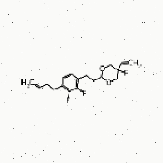 C=CCCc1ccc(CCC2OCC(F)(C=C)CO2)c(F)c1F